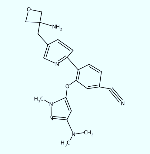 CN(C)c1cc(Oc2cc(C#N)ccc2-c2ccc(CC3(N)COC3)cn2)n(C)n1